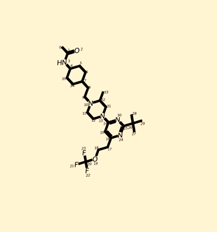 CC(=O)NC1CCC(CCN2CCN(c3cc(CCOC(F)(F)F)nc(C(C)(C)C)n3)CC2C)CC1